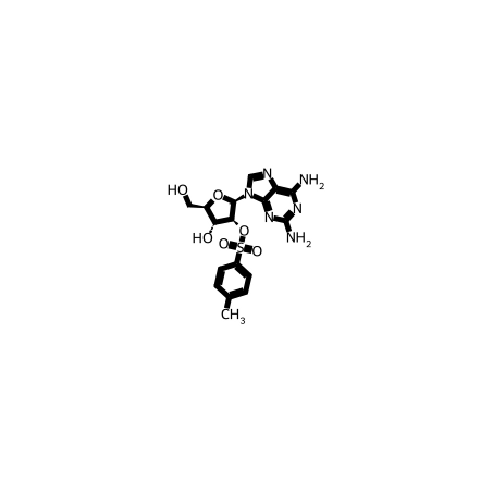 Cc1ccc(S(=O)(=O)O[C@@H]2[C@H](O)[C@@H](CO)O[C@H]2n2cnc3c(N)nc(N)nc32)cc1